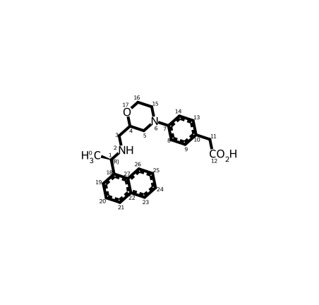 C[C@@H](NCC1CN(c2ccc(CC(=O)O)cc2)CCO1)c1cccc2ccccc12